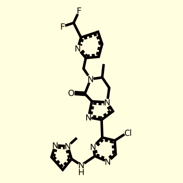 CC1Cn2cc(-c3nc(Nc4ccnn4C)ncc3Cl)nc2C(=O)N1Cc1cccc(C(F)F)n1